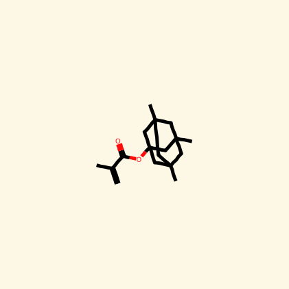 C=C(C)C(=O)OC12CC3(C)CC(C)(CC(C)(C3)C1)C2